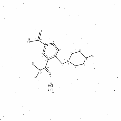 CN1CCN(Cc2ccc(C(=O)Cl)cc2C(=O)N(C)C)CC1.Cl.Cl